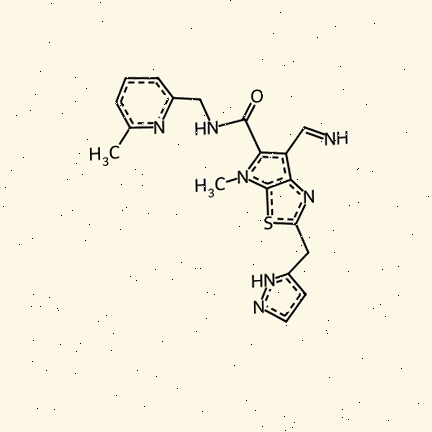 Cc1cccc(CNC(=O)c2c(C=N)c3nc(Cc4ccn[nH]4)sc3n2C)n1